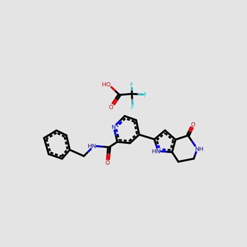 O=C(NCc1ccccc1)c1cc(-c2cc3c([nH]2)CCNC3=O)ccn1.O=C(O)C(F)(F)F